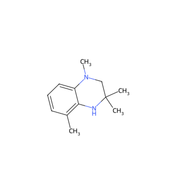 Cc1cccc2c1NC(C)(C)CN2C